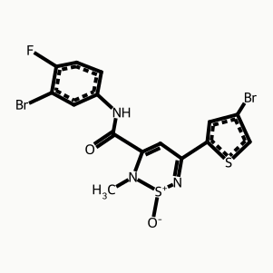 CN1C(C(=O)Nc2ccc(F)c(Br)c2)=CC(c2cc(Br)cs2)=N[S+]1[O-]